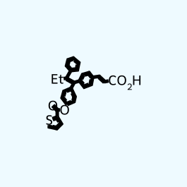 CCC(=C(c1ccc(C=CC(=O)O)cc1)c1ccc(OC(=O)c2cccs2)cc1)c1ccccc1